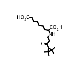 CC1(C)C(C(=O)CCNC(CCCCCCC(=O)O)C(=O)O)C1(C)C